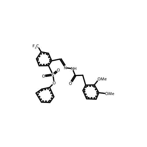 COc1cccc(CC(=O)N/N=C/c2cc(C(F)(F)F)ccc2S(=O)(=O)Oc2ccccc2)c1OC